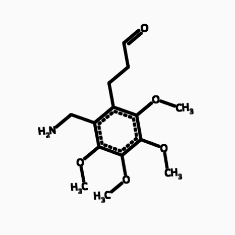 COc1c(CN)c(CCC=O)c(OC)c(OC)c1OC